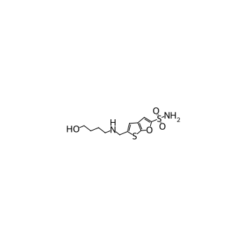 NS(=O)(=O)c1cc2cc(CNCCCCO)sc2o1